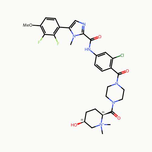 COc1ccc(-c2cnc(C(=O)Nc3ccc(C(=O)N4CCN(C(=O)[C@@H]5CC[C@H](O)C[N+]5(C)C)CC4)c(Cl)c3)n2C)c(F)c1F